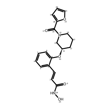 O=C(C=Cc1ccccc1O[C@@H]1CCCN(C(=O)c2ccco2)C1)NO